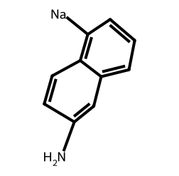 Nc1ccc2[c]([Na])cccc2c1